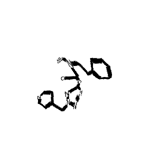 CC(C)(C)N(CCc1ccccc1)C(=O)Oc1nnn(Cc2ccncc2)n1